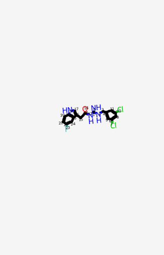 N=C(NCc1cc(Cl)cc(Cl)c1)NC(=O)Cc1c[nH]c2ccc(F)cc12